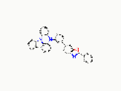 c1ccc(-c2nc3ccc(-c4cccc(N5c6ccccc6-n6c7ccccc7c7cccc5c76)c4)cc3o2)cc1